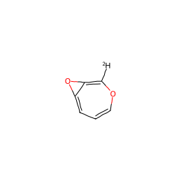 [2H]c1occcc2oc1-2